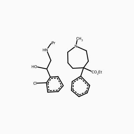 CC(C)NCC(O)c1ccccc1Cl.CCOC(=O)C1(c2ccccc2)CCCN(C)CC1